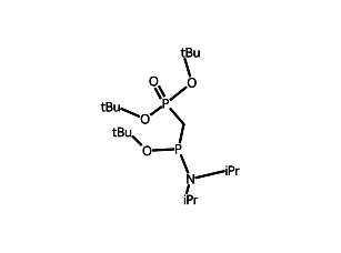 CC(C)N(C(C)C)P(CP(=O)(OC(C)(C)C)OC(C)(C)C)OC(C)(C)C